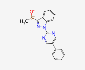 C[S+]([O-])c1nn(-c2ncc(-c3ccccc3)cn2)c2c[c]ccc12